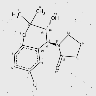 CC1(C)Oc2ccc(Cl)cc2[C@H](N2CCCC2=O)[C@H]1O